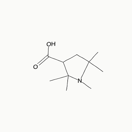 CN1C(C)(C)CC(C(=O)O)C1(C)C